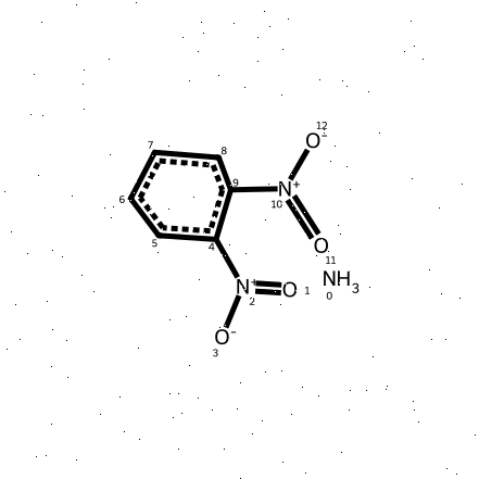 N.O=[N+]([O-])c1ccccc1[N+](=O)[O-]